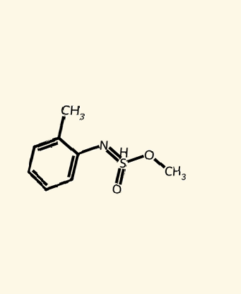 CO[SH](=O)=Nc1ccccc1C